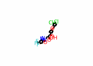 O=C(CC(CCn1nnc2cc(C(F)(F)F)ccc2c1=O)C(=O)O)c1ccc(OCc2ccc(Cl)c(Cl)c2)cc1